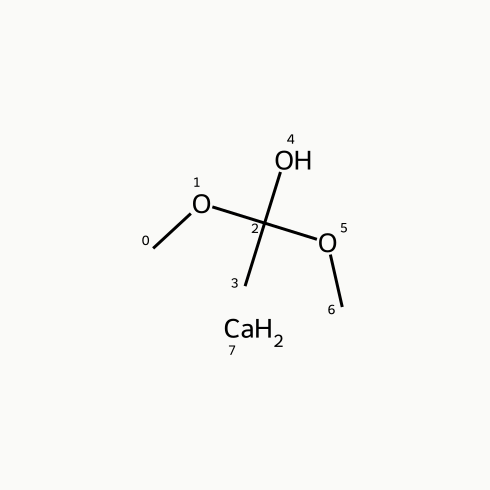 COC(C)(O)OC.[CaH2]